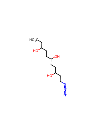 [N-]=[N+]=NCCC(O)CCC(O)CCC(O)CC(=O)O